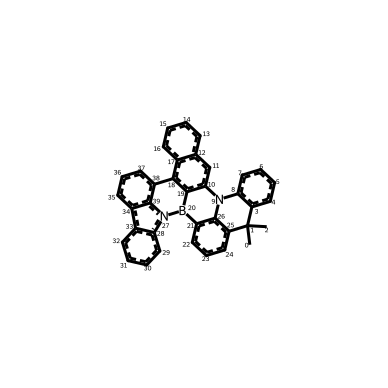 CC1(C)c2ccccc2N2c3cc4ccccc4c4c3B(c3cccc1c32)n1c2ccccc2c2cccc-4c21